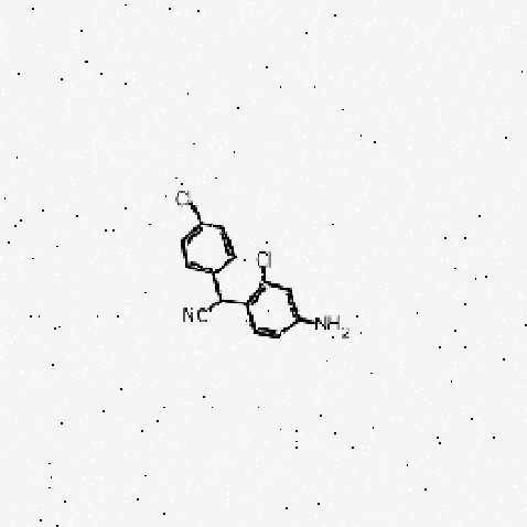 N#CC(c1ccc(Cl)cc1)c1ccc(N)cc1Cl